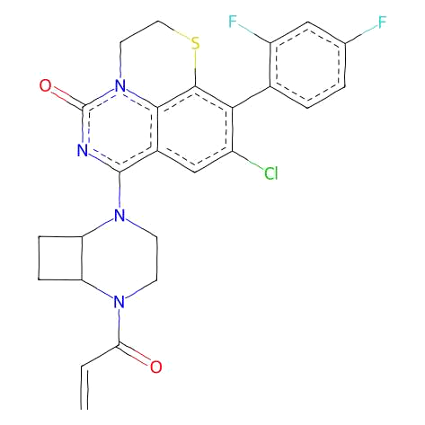 C=CC(=O)N1CCN(c2nc(=O)n3c4c(c(-c5ccc(F)cc5F)c(Cl)cc24)SCC3)C2CCC21